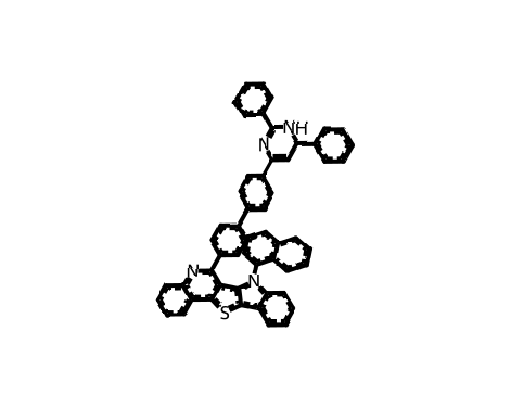 C1=C(c2ccc(-c3ccc(-c4nc5ccccc5c5sc6c7ccccc7n(-c7cccc8ccccc78)c6c45)cc3)cc2)N=C(c2ccccc2)NC1c1ccccc1